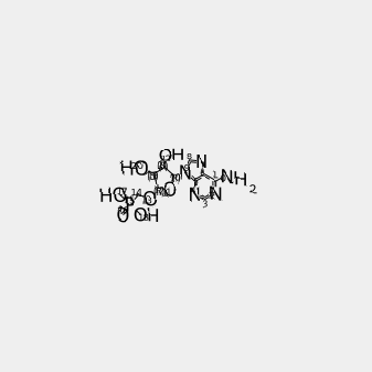 Nc1ncnc2c1ncn2[C@@H]1O[C@H](OCP(=O)(O)O)[C@@H](O)[C@H]1O